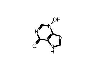 O=c1ncn(O)c2nc[nH]c12